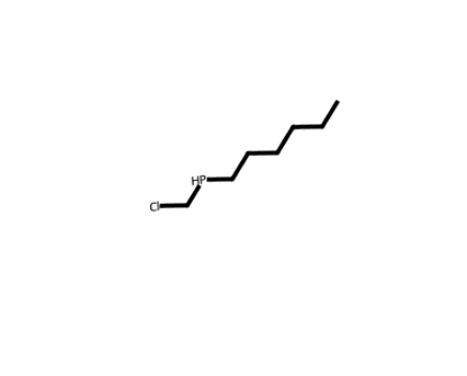 CCCCCCPCCl